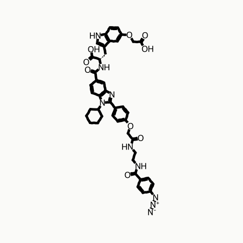 [N-]=[N+]=Nc1ccc(C(=O)NCCNC(=O)COc2ccc(-c3nc4cc(C(=O)N[C@@H](Cc5c[nH]c6ccc(OCC(=O)O)cc56)C(=O)O)ccc4n3C3CCCCC3)cc2)cc1